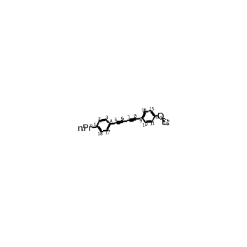 CCCc1ccc(C#CC#Cc2ccc(OCC)cc2)cc1